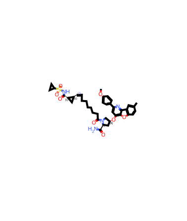 COc1ccc(-c2cc(O[C@@H]3C[C@@H](C(N)=O)N(C(=O)CCCCCC/C=C\[C@@H]4C[C@@H]4C(=O)NS(=O)(=O)C4CC4)C3)c3oc4ccc(C)cc4c3n2)cc1